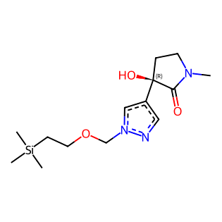 CN1CC[C@@](O)(c2cnn(COCC[Si](C)(C)C)c2)C1=O